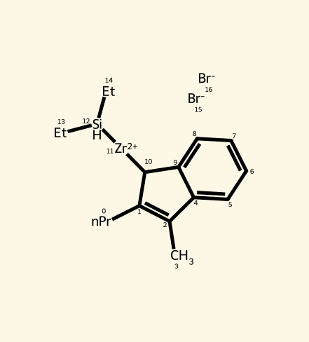 CCCC1=C(C)c2ccccc2[CH]1[Zr+2][SiH](CC)CC.[Br-].[Br-]